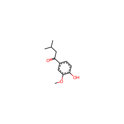 COc1cc(C(=O)CC(C)C)ccc1O